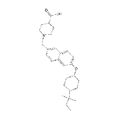 CCC(C)(C)C1CCC(Oc2ccc3cc(CN4CCC(C(=O)O)CC4)ccc3c2)CC1